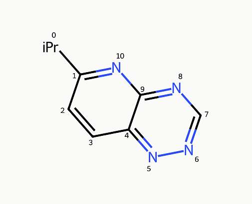 CC(C)c1ccc2nncnc2n1